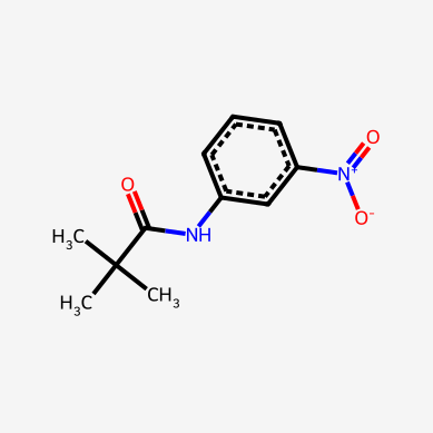 CC(C)(C)C(=O)Nc1cccc([N+](=O)[O-])c1